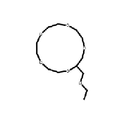 CCOCC1COCCOCCOCCOCCO1